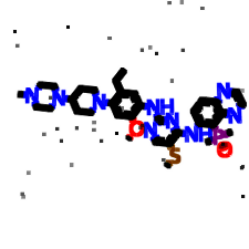 CCc1cc(Nc2ncc(SC)c(Nc3ccc4nccnc4c3P(C)(C)=O)n2)c(OC)cc1N1CCC(N2CCN(C)CC2)CC1